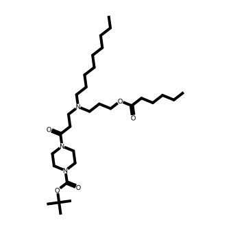 CCCCCCCCCN(CCCOC(=O)CCCCC)CCC(=O)N1CCN(C(=O)OC(C)(C)C)CC1